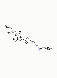 CCCCCCCCCCC\C=C/C=C/C=C/C=C\C(=O)C(CN)OP(=O)(O)OC[C@H](O)CO